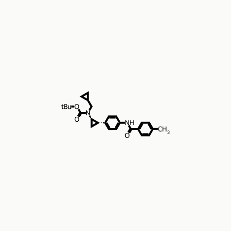 Cc1ccc(C(=O)Nc2ccc([C@@H]3C[C@H]3N(CC3CC3)C(=O)OC(C)(C)C)cc2)cc1